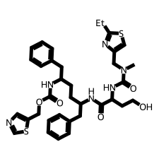 CCc1nc(CN(C)C(=O)NC(CCO)C(=O)NC(CCC(Cc2ccccc2)NC(=O)OCc2cncs2)Cc2ccccc2)cs1